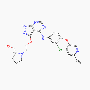 Cc1ccc(Oc2ccc(Nc3ncnc4[nH]nc(OCCN5CCC[C@@H]5CO)c34)cc2Cl)cn1